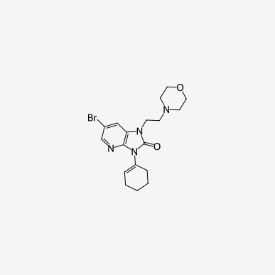 O=c1n(CCN2CCOCC2)c2cc(Br)cnc2n1C1=CCCCC1